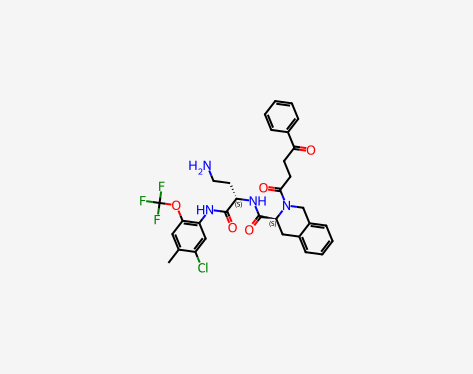 Cc1cc(OC(F)(F)F)c(NC(=O)[C@H](CCN)NC(=O)[C@@H]2Cc3ccccc3CN2C(=O)CCC(=O)c2ccccc2)cc1Cl